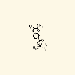 CC(CN1CCN(C(=O)OC(C)(C)C)CC1)C(N)=O